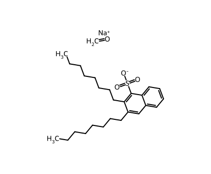 C=O.CCCCCCCCc1cc2ccccc2c(S(=O)(=O)[O-])c1CCCCCCCC.[Na+]